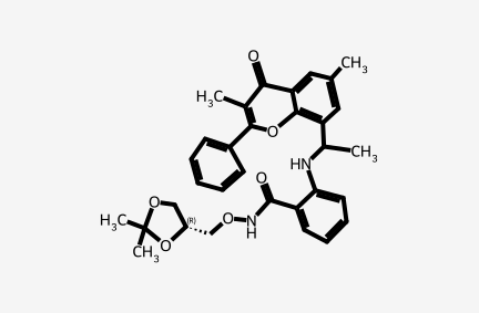 Cc1cc(C(C)Nc2ccccc2C(=O)NOC[C@H]2COC(C)(C)O2)c2oc(-c3ccccc3)c(C)c(=O)c2c1